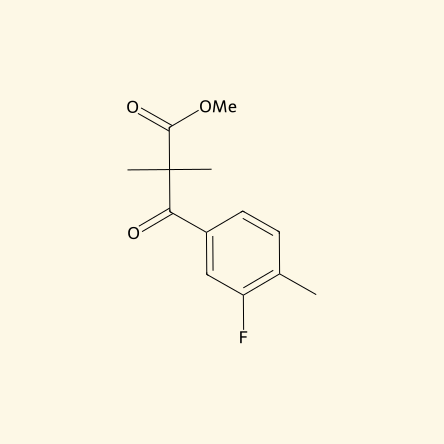 COC(=O)C(C)(C)C(=O)c1ccc(C)c(F)c1